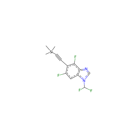 C[Si](C)(C)C#Cc1c(F)cc2c(ncn2C(F)F)c1F